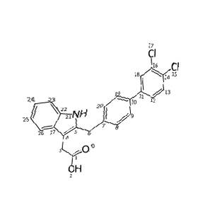 O=C(O)Cc1c(Cc2ccc(-c3ccc(Cl)c(Cl)c3)cc2)[nH]c2ccccc12